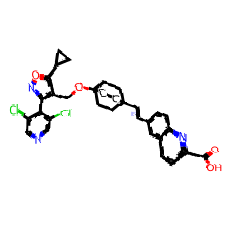 O=C(O)c1ccc2cc(/C=C/C34CCC(OCc5c(-c6c(Cl)cncc6Cl)noc5C5CC5)(CC3)CC4)ccc2n1